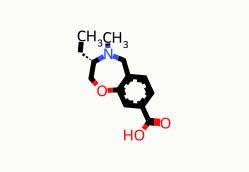 CC[C@H]1COc2cc(C(=O)O)ccc2CN1C